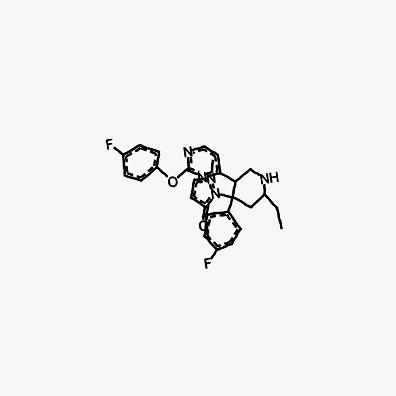 CCC1CC(c2ccc(F)cc2)(n2c(=O)ccn2C)C(c2ccnc(Oc3ccc(F)cc3)n2)CN1